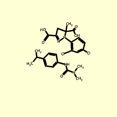 CC(C)c1ccc(NC(=O)N(C)C)cc1.CC1(C(=O)O)CC(C(=O)O)=NN1c1ccc(Cl)cc1Cl